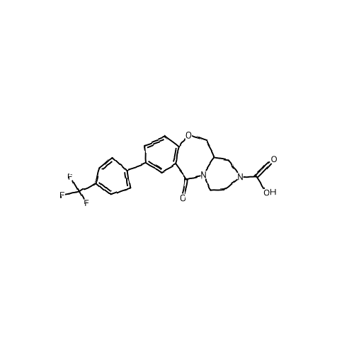 O=C(O)N1CCN2C(=O)c3cc(-c4ccc(C(F)(F)F)cc4)ccc3OCC2C1